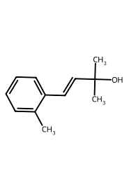 Cc1ccccc1C=CC(C)(C)O